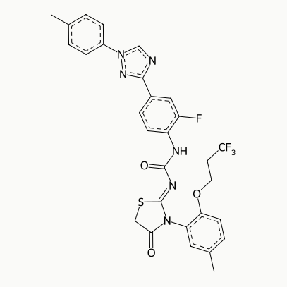 Cc1ccc(-n2cnc(-c3ccc(NC(=O)/N=C4\SCC(=O)N4c4cc(C)ccc4OCCC(F)(F)F)c(F)c3)n2)cc1